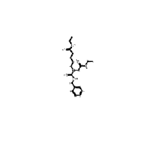 CCOC(=O)CCCCN(CC(=O)OCC)C(=O)OCc1ccccc1